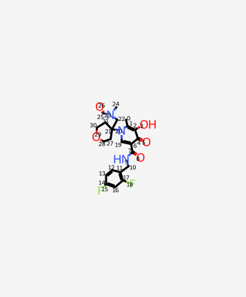 Cc1c(O)c(=O)c(C(=O)NCc2ccc(F)cc2F)cn1C1(CN(C)C=O)CCOCC1